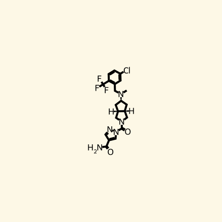 CN(Cc1cc(Cl)ccc1C(F)(F)F)[C@H]1C[C@@H]2CN(C(=O)n3cc(C(N)=O)cn3)C[C@@H]2C1